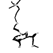 COC(=O)c1nn(COCCS(C)(C)C)cc1Br